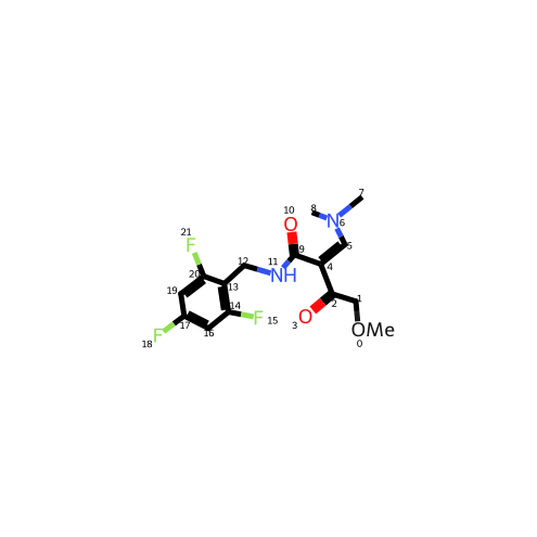 COCC(=O)/C(=C/N(C)C)C(=O)NCc1c(F)cc(F)cc1F